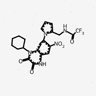 O=C(NCc1cccn1-c1cc2c(cc1[N+](=O)[O-])[nH]c(=O)c(=O)n2C1CCCCC1)C(F)(F)F